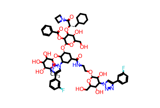 CC1O[C@@H](OC2C(n3cc(-c4cccc(F)c4)nn3)CC(C(=O)NCCO[C@H]3OC(CO)[C@@H](O)C(n4cc(-c5cccc(F)c5)nn4)C3O)C[C@H]2O[C@@H]2OC(CO)[C@H](O)C(O[C@@H](CC3CCCCC3)C(=O)N3CCC3)C2OC(=O)c2ccccc2)C(O)C(O)[C@@H]1O